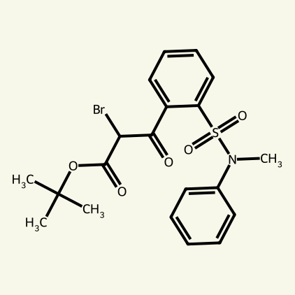 CN(c1ccccc1)S(=O)(=O)c1ccccc1C(=O)C(Br)C(=O)OC(C)(C)C